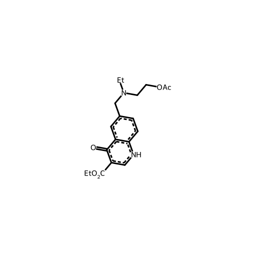 CCOC(=O)c1c[nH]c2ccc(CN(CC)CCOC(C)=O)cc2c1=O